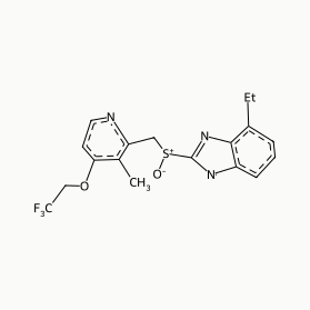 CCc1cccc2c1N=C([S+]([O-])Cc1nccc(OCC(F)(F)F)c1C)[N]2